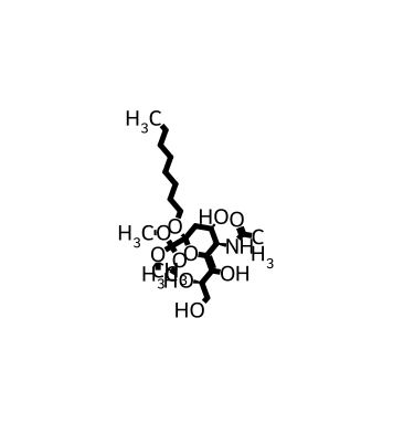 CCCCCCCCO[C@@]1(C(OC)(OC)OC)C[C@H](O)[C@@H](NC(C)=O)C(=C(O)[C@H](O)CO)O1